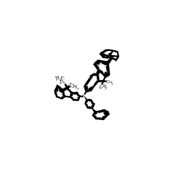 CC1(C)c2ccccc2-c2ccc(N(c3ccc(-c4ccccc4)cc3)c3ccc4c(c3)C(C)(C)c3cc(C56CC7CC(CC(C7)C5)C6)ccc3-4)cc21